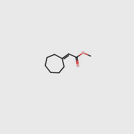 COC(=O)C=C1CCCCCC1